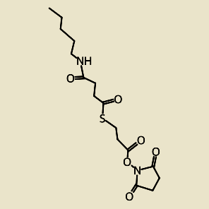 CCCCCNC(=O)CCC(=O)SCCC(=O)ON1C(=O)CCC1=O